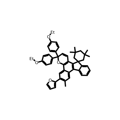 CCOc1ccc(C2(c3ccc(OCC)cc3)C=Cc3c4c(c5cc(C)c(-c6ccco6)cc5c3O2)-c2ccccc2C42CC(C)(C)CC(C)(C)C2)cc1